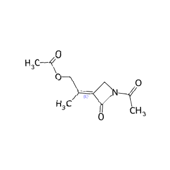 CC(=O)OC/C(C)=C1\CN(C(C)=O)C1=O